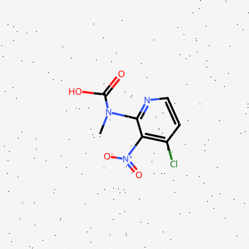 CN(C(=O)O)c1nccc(Cl)c1[N+](=O)[O-]